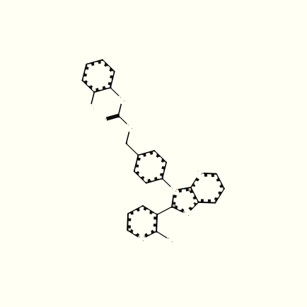 Nc1ncccc1-c1nc2cccnc2n1-c1ccc(CNC(=O)Nc2ccccc2Cl)cc1